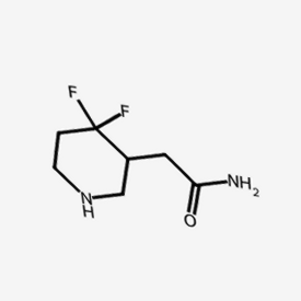 NC(=O)CC1CNCCC1(F)F